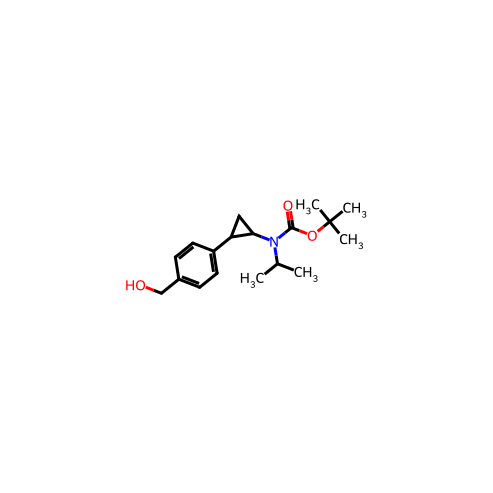 CC(C)N(C(=O)OC(C)(C)C)C1CC1c1ccc(CO)cc1